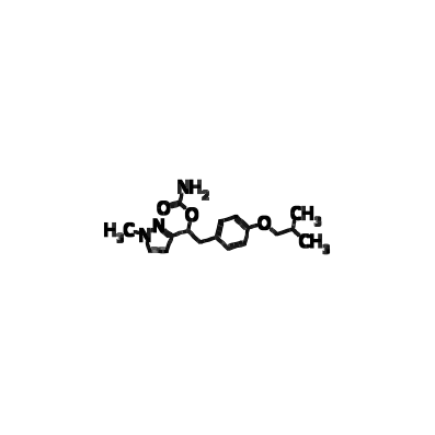 CC(C)COc1ccc(CC(OC(N)=O)c2ccn(C)n2)cc1